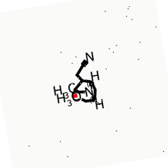 CC(C)N1[C@@H]2COCC(CC#N)[C@H]1C2